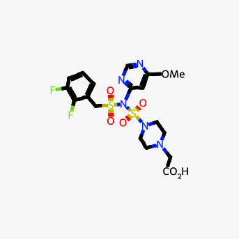 COc1cc(N(S(=O)(=O)Cc2cccc(F)c2F)S(=O)(=O)N2CCN(CC(=O)O)CC2)ncn1